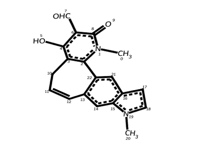 Cn1c2c(c(O)c(C=O)c1=O)CC=Cc1cc3c(ccn3C)cc1-2